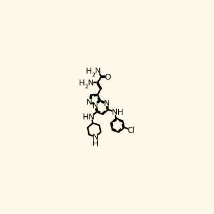 NC(=O)/C(N)=C/c1cnn2c(NC3CCNCC3)cc(Nc3cccc(Cl)c3)nc12